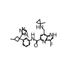 CC1CC(c2cccc(NC(=O)c3cc(CNC4(C)CC4)c4[nH]cc(F)c4n3)c2)(c2nncn2C)C1